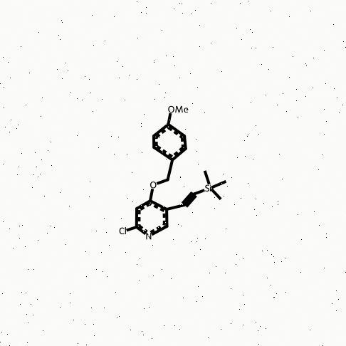 COc1ccc(COc2cc(Cl)ncc2C#C[Si](C)(C)C)cc1